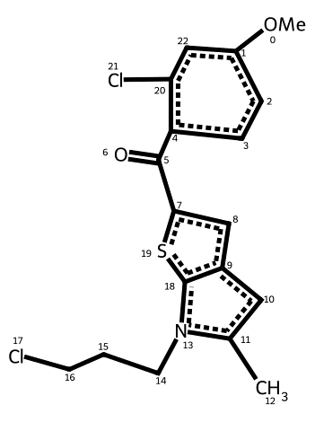 COc1ccc(C(=O)c2cc3cc(C)n(CCCCl)c3s2)c(Cl)c1